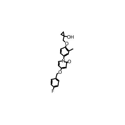 Cc1cc(-n2ccc(OCc3ccc(F)cc3)cc2=O)ccc1OCC1(O)CC1